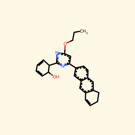 CCCOc1cc(-c2ccc3cc4c(cc3c2)C=CCC4)nc(C2C=CC=CC2O)n1